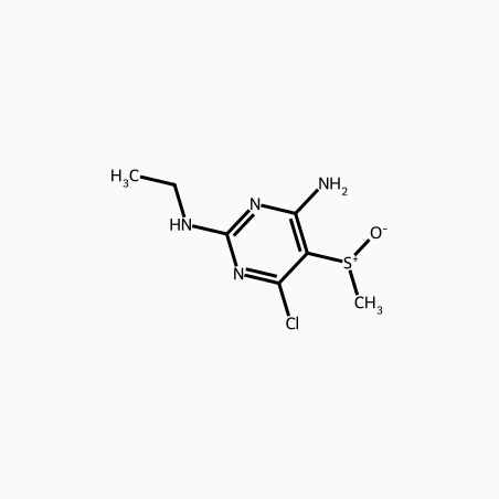 CCNc1nc(N)c([S+](C)[O-])c(Cl)n1